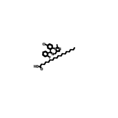 CCCCCCCCCCCCCCCCCC(=O)O.Cc1ncc2n1-c1ccc(Cl)cc1C(c1ccccc1F)=NC2